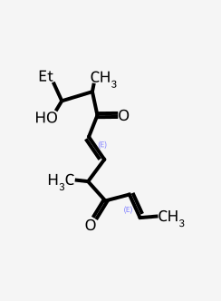 C/C=C/C(=O)C(C)/C=C/C(=O)C(C)C(O)CC